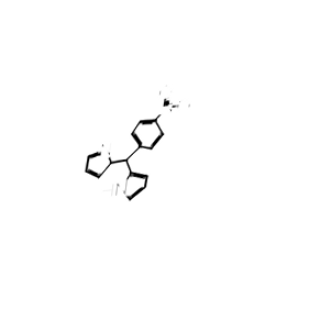 O=[N+]([O-])c1ccc(C(c2ccc[nH]2)C2C=CC=N2)cc1